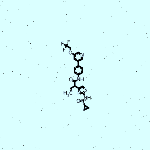 CCC(C(=O)Nc1ccc(-c2cncc(OCC(F)(F)F)c2)cc1)c1csc(N[S+]([O-])C2CC2)n1